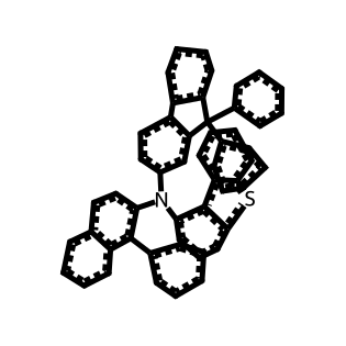 c1ccc(-c2c(N(c3ccc4c(c3)C(c3ccccc3)(c3ccccc3)c3ccccc3-4)c3cccc4sc5ccccc5c34)ccc3ccccc23)cc1